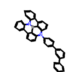 c1ccc(-c2cccc(-c3ccc(N4c5cccc6c5B5c7c(cccc74)-c4ccccc4N5c4ccccc4-6)cc3)c2)cc1